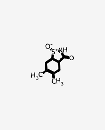 CC1=C(C)CC2C(C1)C(=O)N[S+]2[O-]